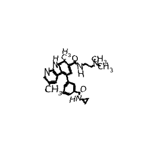 Cc1cnc2[nH]c3c(C)c(C(=O)NCCN(C)C)cc(-c4cccc(C(=O)NC5CC5)c4)c3c2c1